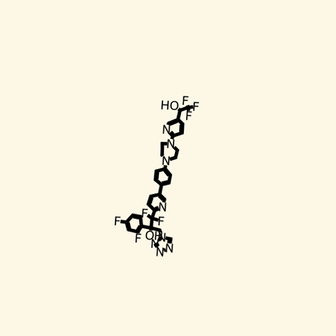 OC(c1ccc(N2CCN(c3ccc(-c4ccc(C(F)(F)C(O)(Cn5cnnn5)c5ccc(F)cc5F)nc4)cc3)CC2)nc1)C(F)(F)F